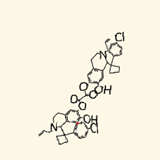 C=CCN1CCc2cc(OC(=O)C(=O)Oc3cc4c(cc3O)C(C3(c5ccc(Cl)cc5)CCC3)N(CC=C)CC4)c(O)cc2C1C1(c2ccc(Cl)cc2)CCC1